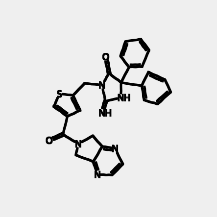 N=C1NC(c2ccccc2)(c2ccccc2)C(=O)N1Cc1cc(C(=O)N2Cc3nccnc3C2)cs1